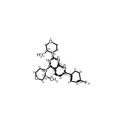 C[C@H]1COCCN1c1nc(N2CCOC[C@@H]2C)c2ccc(C3=CC=C(F)[CH]C3)nc2n1